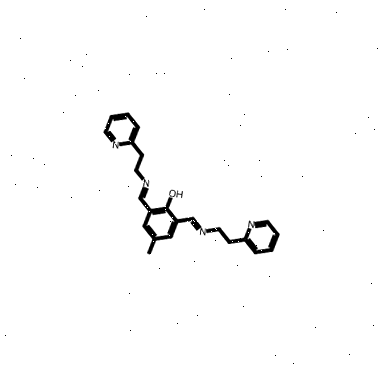 Cc1cc(C=NCCc2ccccn2)c(O)c(C=NCCc2ccccn2)c1